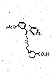 COc1cccc(C(=CCOCCN2CCCC(C(=O)O)C2)c2ccccc2C)c1.Cl